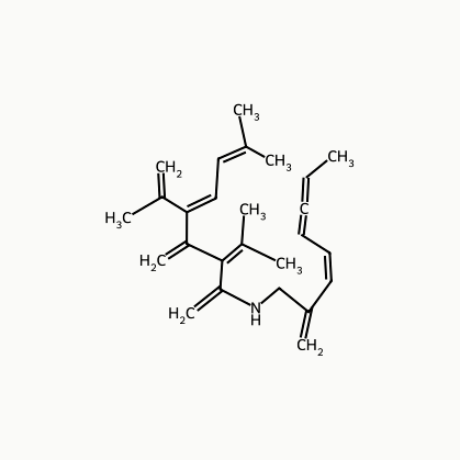 C=C(/C=C\C=C=CC)CNC(=C)C(C(=C)/C(=C/C=C(C)C)C(=C)C)=C(C)C